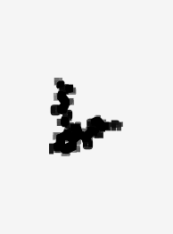 CCCc1csc(C(=O)c2cn(COC(=O)CCN(C)C)c3cc(F)ccc23)n1